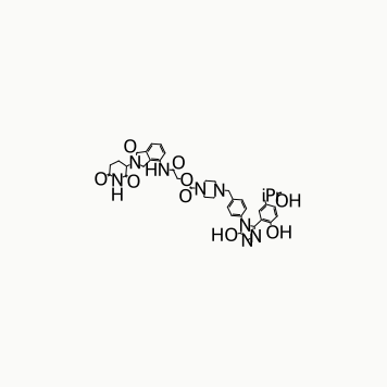 CC(C)c1cc(-c2nnc(O)n2-c2ccc(CN3CCN(C(=O)OCC(=O)Nc4cccc5c4CN(C4CCC(=O)NC4=O)C5=O)CC3)cc2)c(O)cc1O